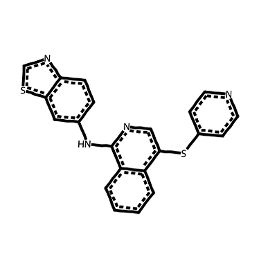 c1ccc2c(Nc3ccc4ncsc4c3)ncc(Sc3ccncc3)c2c1